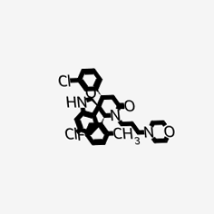 Cc1ccc(F)cc1[C@H]1N(CCCN2CCOCC2)C(=O)C[C@@H](c2cccc(Cl)c2)[C@]12C(=O)Nc1cc(Cl)ccc12